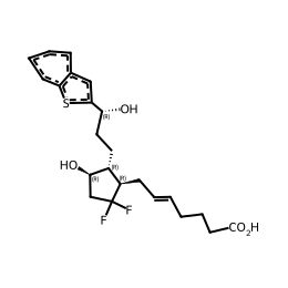 O=C(O)CCCC=CC[C@@H]1[C@@H](CC[C@@H](O)c2cc3ccccc3s2)[C@H](O)CC1(F)F